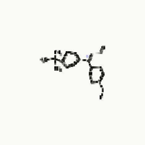 CC(C)(C)c1ccc(/C(=C/C=O)c2ccc(CF)cc2)cc1